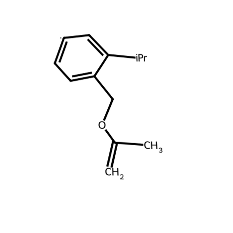 C=C(C)OCc1cc[c]cc1C(C)C